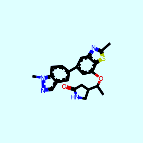 Cc1nc2cc(-c3ccc4c(cnn4C)c3)cc(OC(C)C3CNC(=O)C3)c2s1